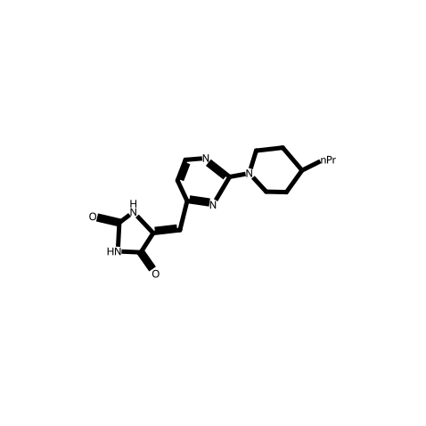 CCCC1CCN(c2nccc(/C=C3\NC(=O)NC3=O)n2)CC1